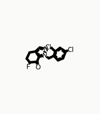 O=C1c2c(cnn2Cc2ccc(Cl)cc2Cl)CCC1F